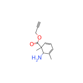 C#CCOC(=O)C1(C)C=CC=C(C)C1N